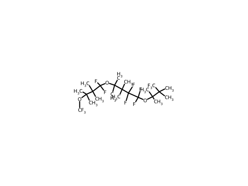 CC(C)(OC(F)(F)C(F)(F)C(C)(C)C(C)(C)OC(F)(F)C(C)(C)C(C)(C)OC(F)(F)F)C(C)(C)C(F)(F)F